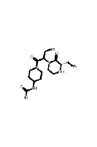 CCC(=O)NC1CCN(C(=O)C(CC(C)C)N2CCN[C@@H](CC(C)C)C2=O)CC1